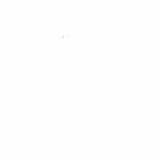 CC(C)CCCOSCCC(C)C